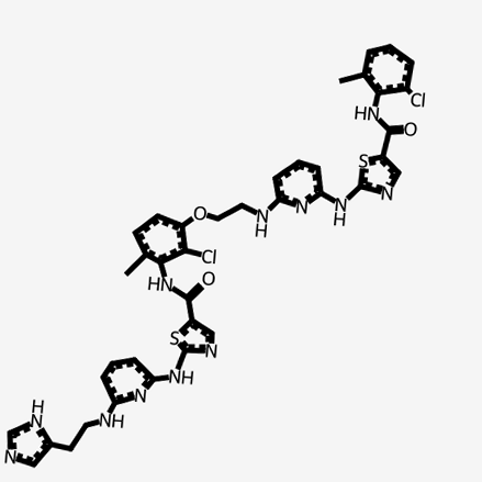 Cc1cccc(Cl)c1NC(=O)c1cnc(Nc2cccc(NCCOc3ccc(C)c(NC(=O)c4cnc(Nc5cccc(NCCc6cnc[nH]6)n5)s4)c3Cl)n2)s1